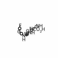 O=C(Nc1ccc(CC2(C(=O)O)CCNCC2)nc1)n1ccc(Nc2ccc(Oc3ccc(F)cc3)cc2)n1